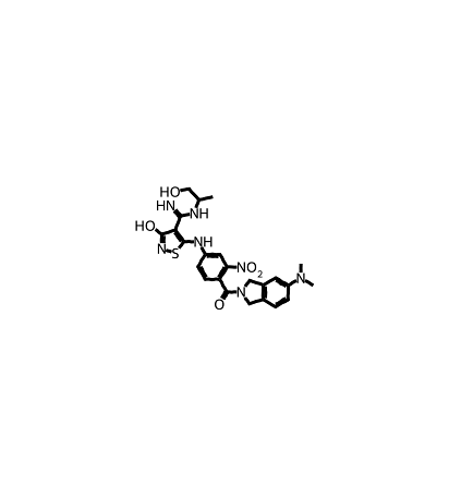 CC(CO)NC(=N)c1c(O)nsc1Nc1ccc(C(=O)N2Cc3ccc(N(C)C)cc3C2)c([N+](=O)[O-])c1